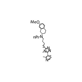 CCCN(CCCSc1nnc(-c2scnc2C)n1C)C1CCc2ccc(OC)cc2C1